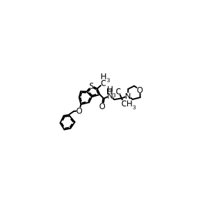 Cc1sc2ccc(OCc3ccccc3)cc2c1C(=O)NCC(C)(C)N1CCOCC1